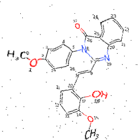 COc1ccc(-n2c(/C=C/c3cccc(OC)c3O)nc3ccccc3c2=O)cc1